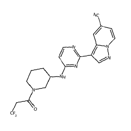 N#Cc1ccn2ncc(-c3nccc(NC4CCCN(C(=O)CC(F)(F)F)C4)n3)c2c1